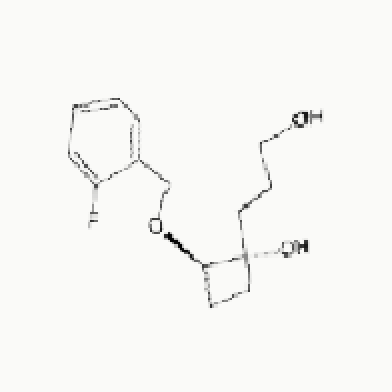 OCCC[C@@]1(O)CC[C@H]1OCc1ccccc1F